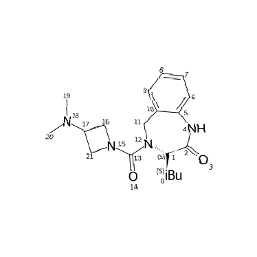 CC[C@H](C)[C@H]1C(=O)Nc2ccccc2CN1C(=O)N1CC(N(C)C)C1